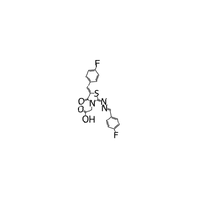 O=C(O)CN1C(=O)/C(=C/c2ccc(F)cc2)S/C1=N/N=C/c1ccc(F)cc1